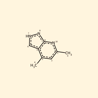 Cc1cc(C)c2c[nH]nc2n1